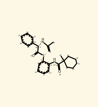 C=C(C)N[C@H](C(=O)Sc1ccccc1NC(=O)C1(C)CCCCC1)c1ccccc1